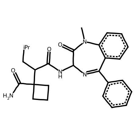 CC(C)CC(C(=O)NC1N=C(c2ccccc2)c2ccccc2N(C)C1=O)C1(C(N)=O)CCC1